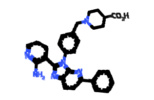 Nc1ncccc1-c1nc2ccc(-c3ccccc3)nc2n1-c1ccc(CN2CCC(C(=O)O)CC2)cc1